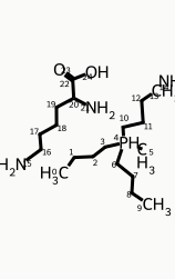 CCCC[PH](C)(CCCC)CCCC.N.NCCCCC(N)C(=O)O